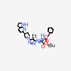 CCc1c(NC[C@@H](NC(=O)OCc2ccccc2)C(=O)OC(C)(C)C)ncnc1N1CCC(c2ccc3c(n2)NCCC3)CC1